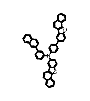 c1cc(-c2ccc3ccccc3c2)cc(N(c2ccc(-c3ccc4oc5c6ccccc6ccc5c4c3)cc2)c2ccc3sc4c5ccccc5ccc4c3c2)c1